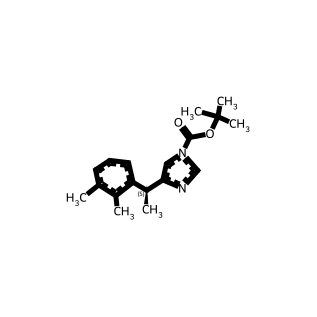 Cc1cccc([C@H](C)c2cn(C(=O)OC(C)(C)C)cn2)c1C